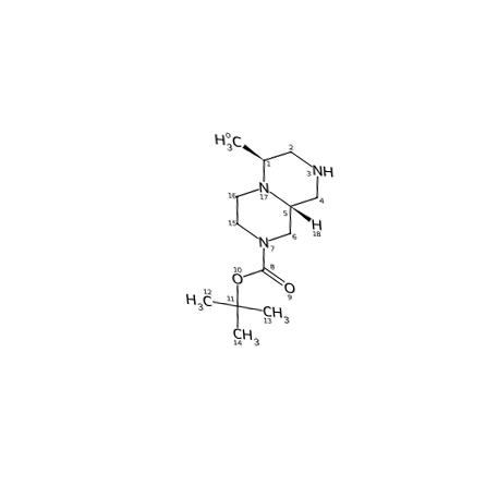 C[C@H]1CNC[C@@H]2CN(C(=O)OC(C)(C)C)CCN21